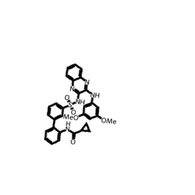 COc1cc(Nc2nc3ccccc3nc2NS(=O)(=O)c2cccc(-c3ccccc3NC(=O)C3CC3)c2)cc(OC)c1